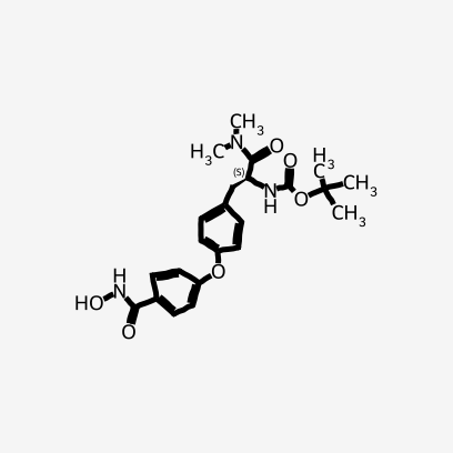 CN(C)C(=O)[C@H](Cc1ccc(Oc2ccc(C(=O)NO)cc2)cc1)NC(=O)OC(C)(C)C